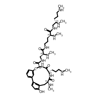 CNCCC[C@@H](CNC(=O)[C@H](CCCNC(=O)[C@H](CNC(=O)[C@@H]1Cc2cccc(c2)-c2ccc(O)c(c2)C[C@H](NC)C(=O)N[C@@H](CCCNC)C(=O)N1)NC)NC)NC